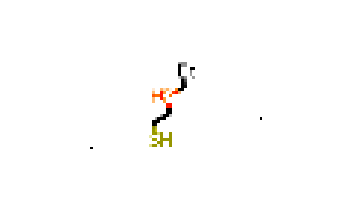 CCCPCCS